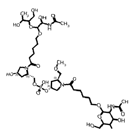 COC[C@@H]1C[C@@H](OP(=O)(O)OC[C@@H]2C[C@@H](O)CN2C(=O)CCCCCOC(OC(CO)C(C)O)C(O)NC(C)=O)CN1C(=O)CCCCCOC1OC(CO)C(O)C(O)C1NC(C)=O